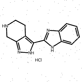 Cl.c1ccc2[nH]c(-c3[nH]nc4c3CCNC4)nc2c1